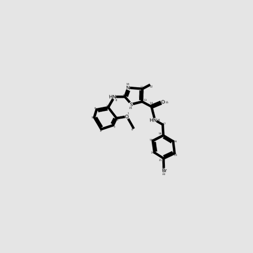 COc1ccccc1Nc1nc(C)c(C(=O)NCc2ccc(Br)cc2)s1